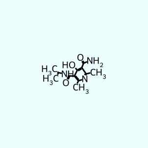 Cc1nc(C)c(C(=O)NC(C)C)c(O)c1C(N)=O